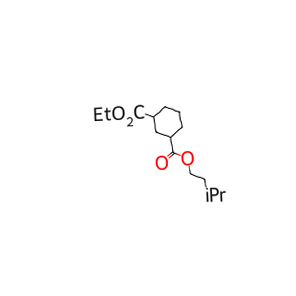 CCOC(=O)C1CCCC(C(=O)OCCC(C)C)C1